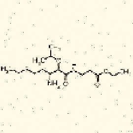 CCOC(=O)CCNC(=O)C(OC(C)C)C(N)CCSCC